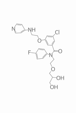 O=C(c1cc(Cl)cc(OCCNc2ccncc2)c1)N(CCOCC(O)CO)c1ccc(F)cc1